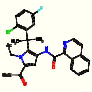 CNC(=O)c1cc(NC(=O)c2nccc3ccccc23)c(C(C)(C)c2cc(F)ccc2Cl)n1CC(C)=O